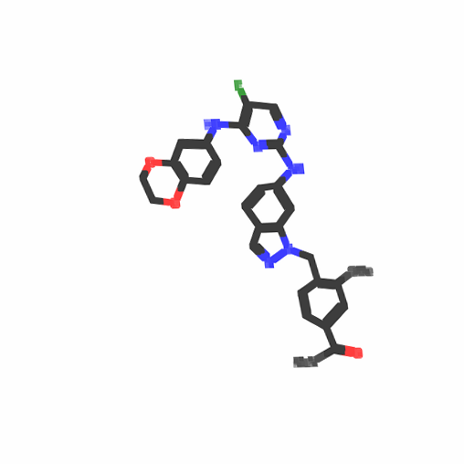 CNC(=O)c1ccc(Cn2ncc3ccc(Nc4ncc(F)c(Nc5ccc6c(c5)OCCO6)n4)cc32)c(OC)c1